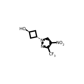 O=[N+]([O-])c1cn([C@H]2C[C@H](O)C2)nc1C(F)(F)F